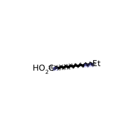 CC/C=C/C=C/CCCCCCCCCCC/C=C/C(=O)O